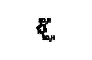 O=S(=O)(O)c1cnc(S(=O)(=O)O)nc1